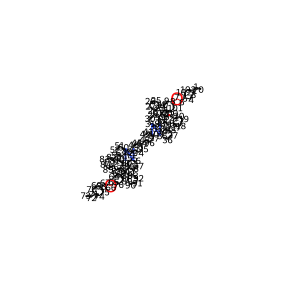 C=Cc1ccc(COc2ccc(C3(c4ccc5ccccc5c4)c4ccccc4-c4ccc(N(c5ccccc5)c5ccc(-c6ccc(N(c7ccccc7)c7ccc8c(c7)C(c7ccc(OCc9ccc(C=C)cc9)cc7)(c7ccc9ccccc9c7)c7ccccc7-8)cc6)cc5)cc43)cc2)cc1